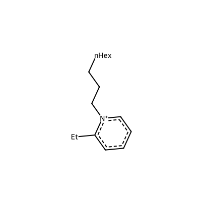 CCCCCCCCC[n+]1ccccc1CC